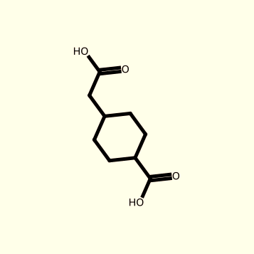 O=C(O)CC1CCC(C(=O)O)CC1